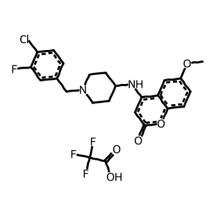 COc1ccc2oc(=O)cc(NC3CCN(Cc4ccc(Cl)c(F)c4)CC3)c2c1.O=C(O)C(F)(F)F